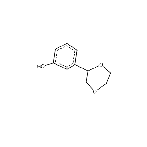 Oc1cccc(C2COCCO2)c1